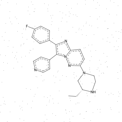 CC[C@@H]1CN(c2ccc3nc(-c4ccc(F)cc4)c(-c4ccncc4)n3n2)CCN1